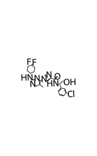 Cc1cnc(NC2CCC(F)(F)CC2)nc1-n1cnc(C(=O)NC(CO)c2cccc(Cl)c2)c1